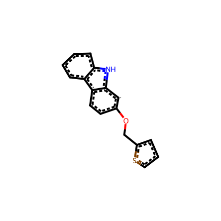 [c]1c(OCc2cccs2)ccc2c1[nH]c1ccccc12